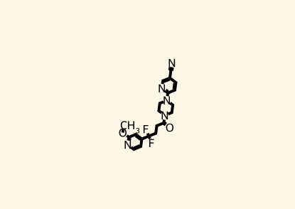 COc1cc(C(F)(F)CCC(=O)N2CCN(c3ccc(C#N)cn3)CC2)ccn1